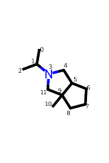 CC(C)N1CC2CCCC2(C)C1